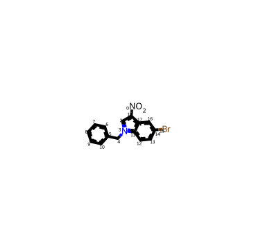 O=[N+]([O-])c1cn(Cc2ccccc2)c2ccc(Br)cc12